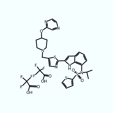 CC(C)N(c1cccc2cc(-c3ncc(CN4CCC(Oc5cnccn5)CC4)s3)[nH]c12)S(=O)(=O)c1cccs1.O=C(O)C(F)(F)F.O=C(O)C(F)(F)F